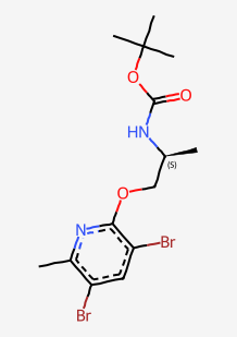 Cc1nc(OC[C@H](C)NC(=O)OC(C)(C)C)c(Br)cc1Br